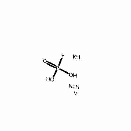 O=P(O)(O)F.[KH].[NaH].[V]